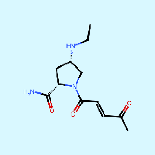 CCN[C@H]1C[C@@H](C(N)=O)N(C(=O)/C=C/C(C)=O)C1